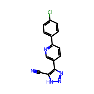 N#Cc1[nH]nnc1-c1ccc(-c2ccc(Cl)cc2)nc1